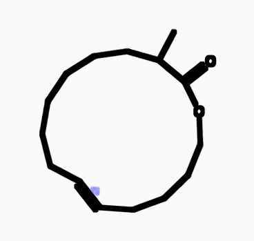 CC1CCCCCC/C=C/CCCCOC1=O